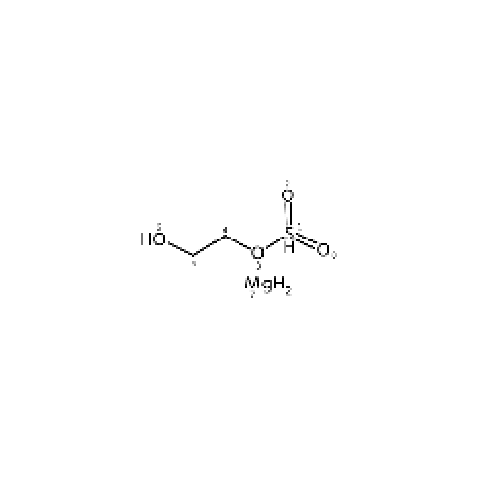 O=[SH](=O)OCCO.[MgH2]